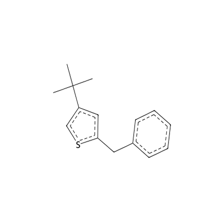 CC(C)(C)c1csc(Cc2ccccc2)c1